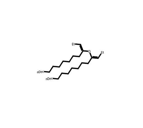 CCC=C(CCCCCCCCCCCCCCCCC)OC(=CCC)CCCCCCCCCCCCCCCCC